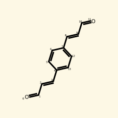 O=CC=Cc1ccc(C=CC=O)cc1